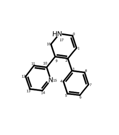 C1=CC(c2ccccc2)=C(c2ccccn2)CN1